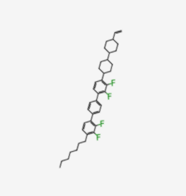 C=CC1CCC(C2CCC(c3ccc(-c4ccc(-c5ccc(CCCCCCC)c(F)c5F)cc4)c(F)c3F)CC2)CC1